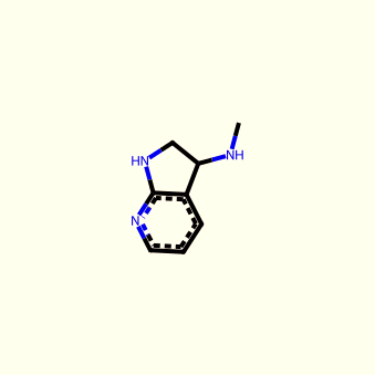 CNC1CNc2ncccc21